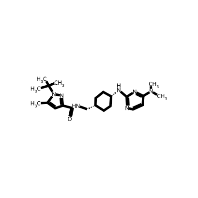 Cc1cc(C(=O)NC[C@H]2CC[C@@H](Nc3nccc(N(C)C)n3)CC2)nn1C(C)(C)C